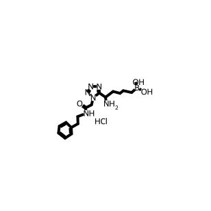 Cl.NC(CCCCB(O)O)c1nnnn1CC(=O)NCCc1ccccc1